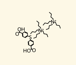 CCCC[N+](CCCC)(CCCC)CCCC.CCCC[N+](CCCC)(CCCC)CCCC.O=C(O)c1ccc(Sc2ccc(C(=O)O)cc2)cc1